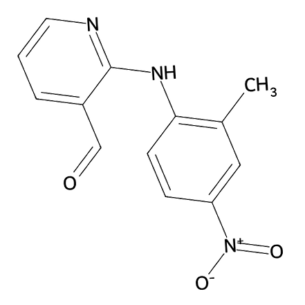 Cc1cc([N+](=O)[O-])ccc1Nc1ncccc1C=O